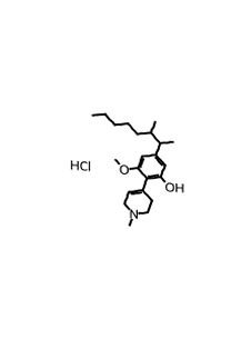 CCCCCC(C)C(C)c1cc(O)c(C2=CCN(C)CC2)c(OC)c1.Cl